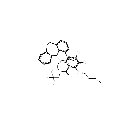 CCCCOc1c2n(cc(Cl)c1=O)N([C@H]1c3ccccc3SCc3cccc(N(C)C)c31)CN([C@H](C)C(F)(F)F)C2=O